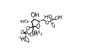 NC1(OP(=O)(O)O)O[C@H](COP(=O)(O)O)[C@@H](O)[C@H]1O